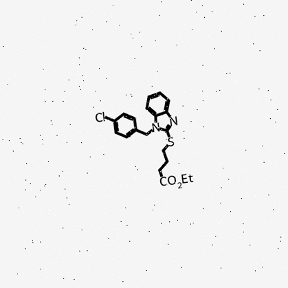 CCOC(=O)CCCSc1nc2ccccc2n1Cc1ccc(Cl)cc1